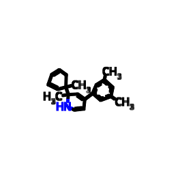 Cc1cc(C)cc(C2=CC(C)(C3(C)C=CC=CC3)NC=C2)c1